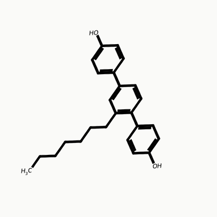 CCCCCCCc1cc(-c2ccc(O)cc2)ccc1-c1ccc(O)cc1